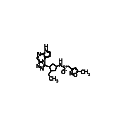 CCC1CC(N[S+]([O-])Cc2cc(C)on2)CC1c1nnc2cnc3[nH]ccc3n12